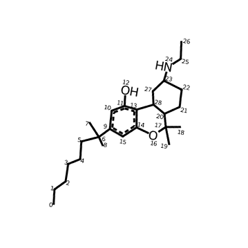 CCCCCCC(C)(C)c1cc(O)c2c(c1)OC(C)(C)C1CCC(NCC)CC21